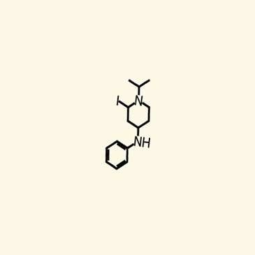 CC(C)N1CCC(Nc2ccccc2)CC1I